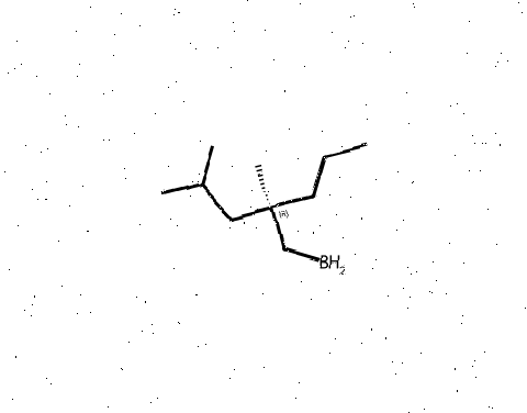 BC[C@](C)(CCC)CC(C)C